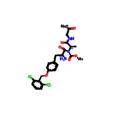 COC(=O)CNC(=O)[C@@H](C)N(C(=O)OC(C)(C)C)C(=O)[C@@H](N)Cc1ccc(OCc2c(Cl)cccc2Cl)cc1